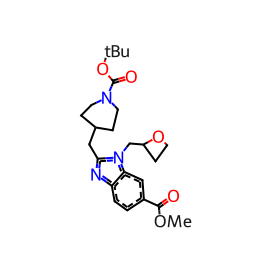 COC(=O)c1ccc2nc(CC3CCN(C(=O)OC(C)(C)C)CC3)n(CC3CCO3)c2c1